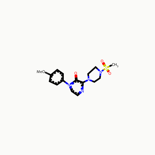 COc1ccc(-n2ccnc(N3CCN(S(C)(=O)=O)CC3)c2=O)cc1